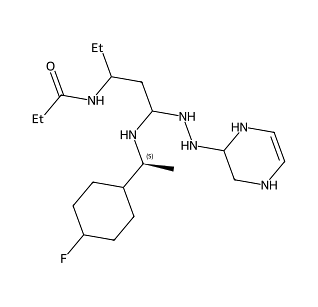 CCC(=O)NC(CC)CC(NNC1CNC=CN1)N[C@@H](C)C1CCC(F)CC1